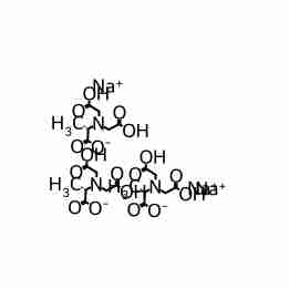 C[C@@H](C(=O)[O-])N(CC(=O)O)CC(=O)O.C[C@@H](C(=O)[O-])N(CC(=O)O)CC(=O)O.C[C@@H](C(=O)[O-])N(CC(=O)O)CC(=O)O.[Na+].[Na+].[Na+]